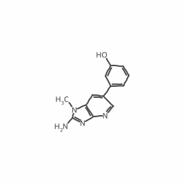 Cn1c(N)nc2ncc(-c3cccc(O)c3)cc21